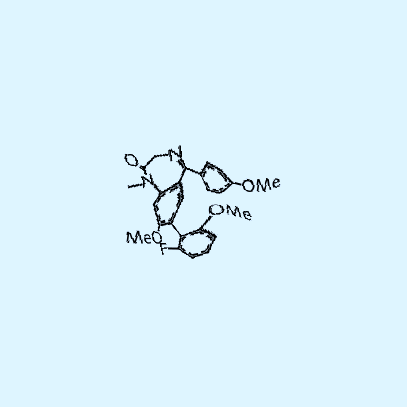 COc1ccc(C2=NCC(=O)N(C)c3cc(OC)c(-c4c(F)cccc4OC)cc32)cc1